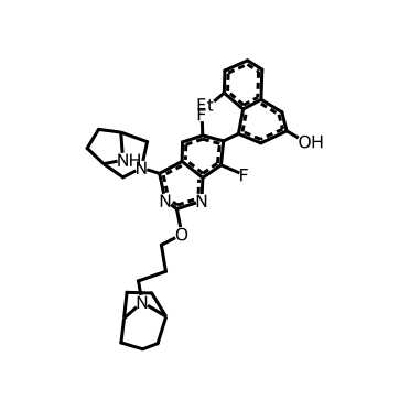 CCc1cccc2cc(O)cc(-c3c(F)cc4c(N5CC6CCC(C5)N6)nc(OCCCN5C6CCCC5CC6)nc4c3F)c12